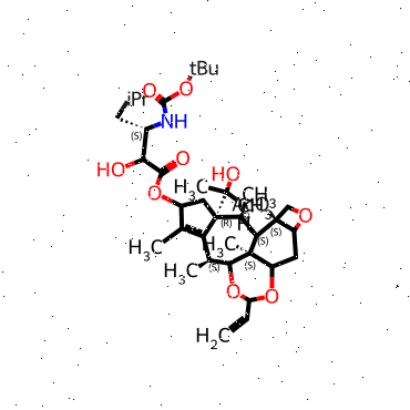 C=CC1OC2CC3OC[C@@]3(OC(C)=O)[C@H]3[C@H](C)[C@]4(C(C)(C)O)CC(OC(=O)C(O)[C@H](CC(C)C)NC(=O)OC(C)(C)C)C(C)=C4[C@H](C)C(O1)[C@]23C